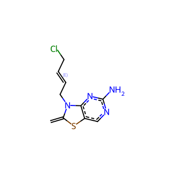 C=C1Sc2cnc(N)nc2N1C/C=C/CCl